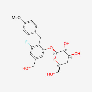 COc1ccc(Cc2c(F)cc(CO)cc2O[C@@H]2O[C@H](CO)C[C@H](O)[C@H]2O)cc1